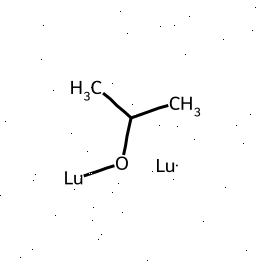 CC(C)[O][Lu].[Lu]